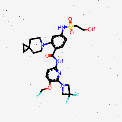 O=C(Nc1ccc(OCF)c(N2CC(F)(F)C2)n1)c1ccc(NS(=O)(=O)CCO)cc1N1CCC2(CC1)CC2